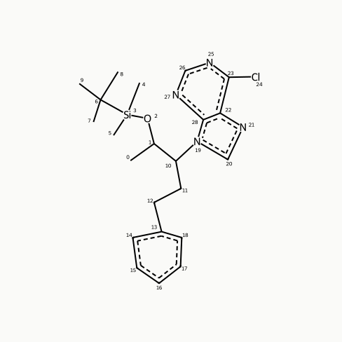 CC(O[Si](C)(C)C(C)(C)C)C(CCc1ccccc1)n1cnc2c(Cl)ncnc21